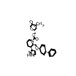 CN1C[C@H](COC(=O)N2CCC[C@H](c3cc[nH]n3)[C@@H]2CO[C@H]2CC[C@@H](c3ccccc3)CC2)OCC1=O